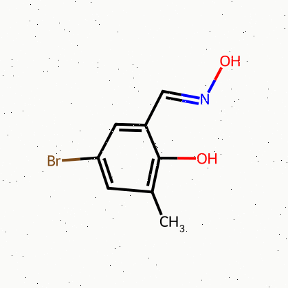 Cc1cc(Br)cc(C=NO)c1O